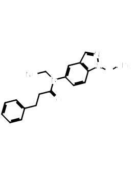 CCCCOn1ncc2cc(N(CC#N)C(=O)CCc3ccccc3)ccc21